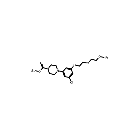 CCCOCCOCCOc1cc(Cl)cc(N2CCN(C(=O)OC(C)(C)C)CC2)c1